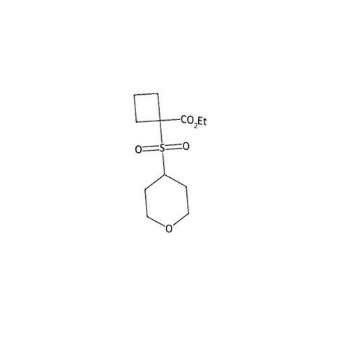 CCOC(=O)C1(S(=O)(=O)C2CCOCC2)CCC1